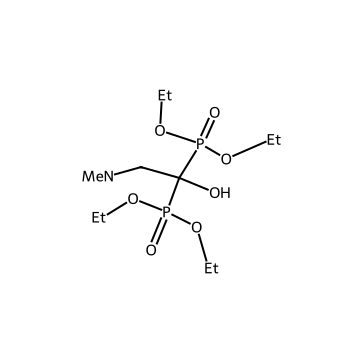 CCOP(=O)(OCC)C(O)(CNC)P(=O)(OCC)OCC